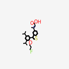 C/C(=C\C(=O)O)c1ccc2scc(-c3cc(C(C)C)cc(C(C)C)c3OCCCF)c2c1